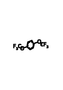 FC(F)(F)Oc1ccc(OC(F)(F)F)cc1